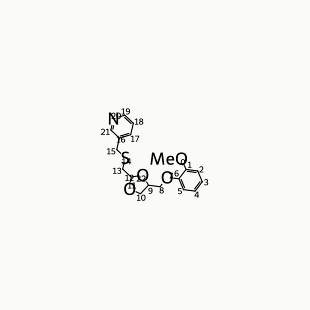 COc1ccccc1OCC1COC(CSCc2cccnc2)O1